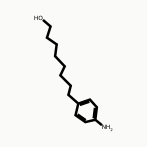 Nc1ccc(CCCCCCCCO)cc1